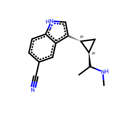 CNC(C)[C@@H]1C[C@H]1c1c[nH]c2ccc(C#N)cc12